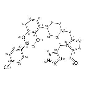 O=Cc1cnc(CN2CCC(c3cccc4c3OC[C@@H](c3ccc(Cl)cc3)O4)CC2)n1Cc1cnco1